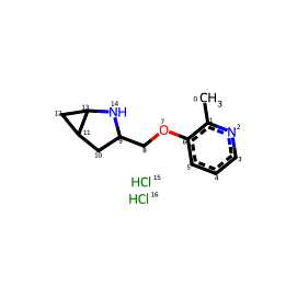 Cc1ncccc1OCC1CC2CC2N1.Cl.Cl